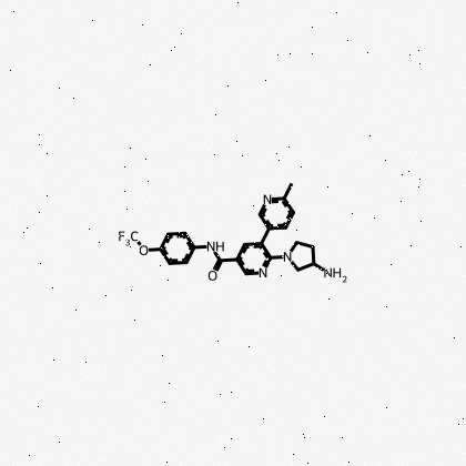 Cc1ccc(-c2cc(C(=O)Nc3ccc(OC(F)(F)F)cc3)cnc2N2CCC(N)C2)cn1